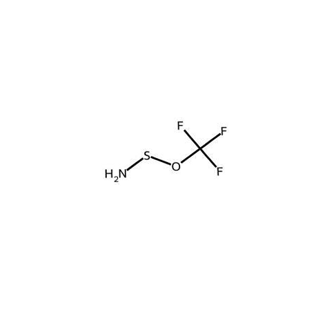 NSOC(F)(F)F